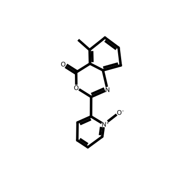 Cc1cccc2nc(-c3cccc[n+]3[O-])oc(=O)c12